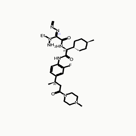 C=N/N=C(/C(=O)N[C@H](C(=O)Nc1ccc([C@H](C)CC(=O)N2CCN(C)CC2)cc1F)[C@H]1CC[C@H](C)CC1)N(N)CC